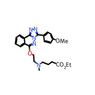 CCOC(=O)CCCN(C)CCOc1nn2c(-c3ccc(OC)cc3)nnc2c2ccccc12